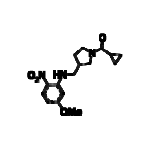 COc1ccc([N+](=O)[O-])c(NCC2CCN(C(=O)C3CC3)C2)c1